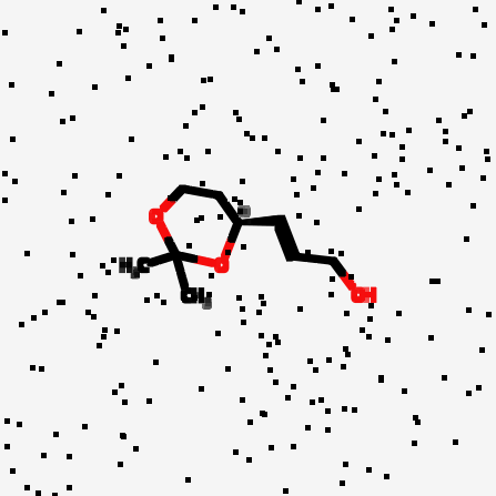 CC1(C)OCC[C@@H](C=CCO)O1